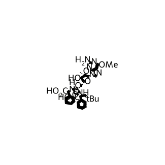 COc1nc(N)nc2c1ncn2[C@@H]1O[C@H](COP(=O)(N[C@H](C(=O)O)c2ccccc2)N[C@](CC(C)(C)C)(C(=O)O)c2ccccc2)[C@@H](O)[C@@]1(C)O